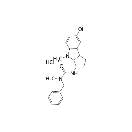 CN(Cc1ccccc1)C(=O)NC1CCC2C3C=C(O)C=CC3N(C)C12.Cl